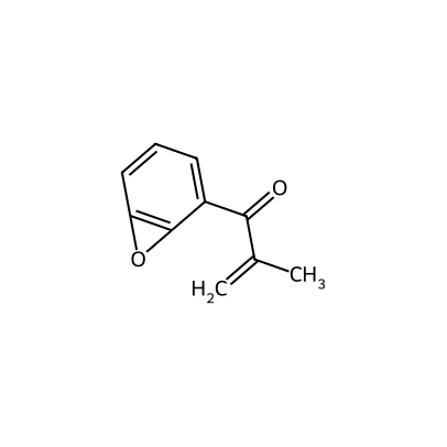 C=C(C)C(=O)c1cccc2c1O2